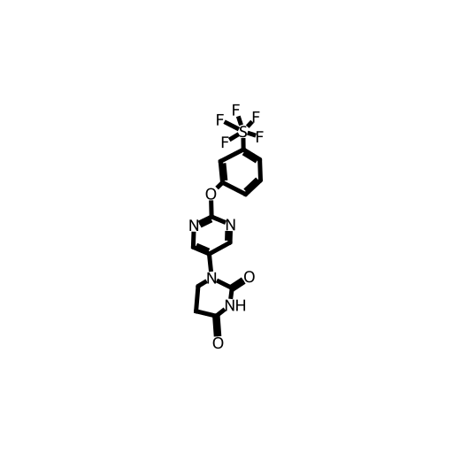 O=C1CCN(c2cnc(Oc3cccc(S(F)(F)(F)(F)F)c3)nc2)C(=O)N1